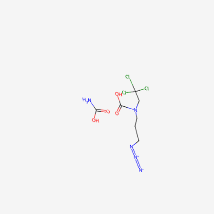 NC(=O)O.[N-]=[N+]=NCCCN(CC(Cl)(Cl)Cl)C(=O)O